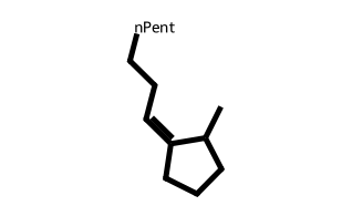 CCCCCCCC=C1CCCC1C